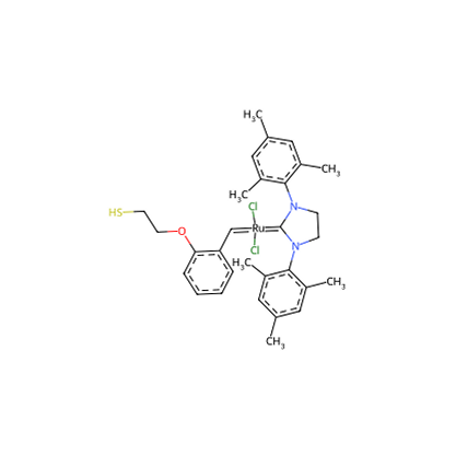 Cc1cc(C)c(N2CCN(c3c(C)cc(C)cc3C)[C]2=[Ru]([Cl])([Cl])=[CH]c2ccccc2OCCS)c(C)c1